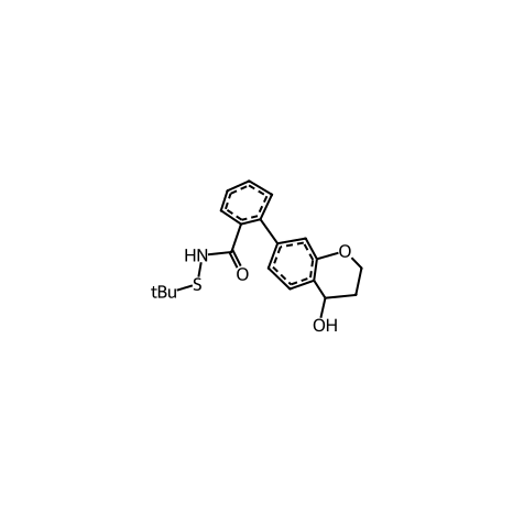 CC(C)(C)SNC(=O)c1ccccc1-c1ccc2c(c1)OCCC2O